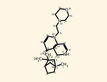 CC1(C)C2CC[C@](C)(C2)[C@H]1C1NC=Cc2c1c(=O)ccn2CCN1CCOCC1